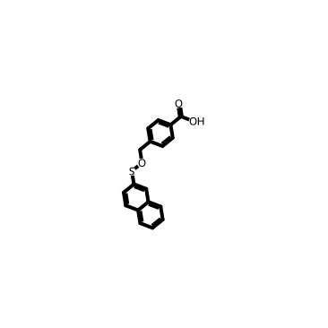 O=C(O)c1ccc(COSc2ccc3ccccc3c2)cc1